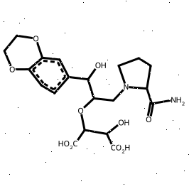 NC(=O)C1CCCN1CC(OC(C(=O)O)C(O)C(=O)O)C(O)c1ccc2c(c1)OCCO2